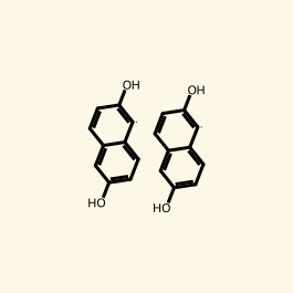 Oc1[c]c2ccc(O)cc2cc1.Oc1[c]c2ccc(O)cc2cc1